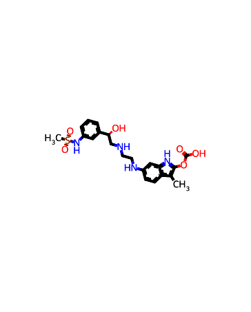 Cc1c(OC(=O)O)[nH]c2cc(NCCNC[C@H](O)c3cccc(NS(C)(=O)=O)c3)ccc12